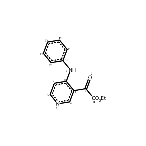 CCOC(=O)C(=O)c1cnccc1Nc1ccccc1